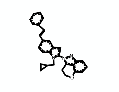 [c]1cc2c3c(n(-c4cc5cc(C=Cc6ccccc6)ccc5n4CC4CC4)nc3c1)CCO2